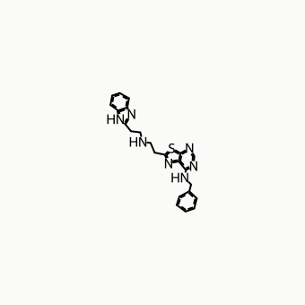 c1ccc(CNc2ncnc3sc(CCNCCc4nc5ccccc5[nH]4)nc23)cc1